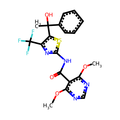 COc1ncnc(OC)c1C(=O)Nc1nc(C(F)(F)F)c(C(C)(O)c2ccccc2)s1